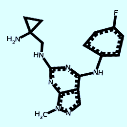 Cn1ncc2c(Nc3ccc(F)cc3)nc(NCC3(N)CC3)nc21